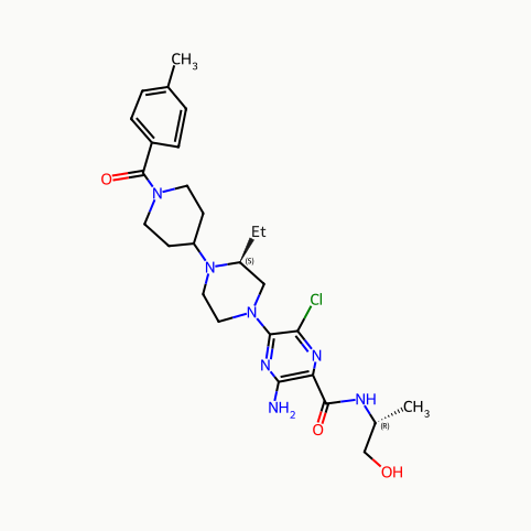 CC[C@H]1CN(c2nc(N)c(C(=O)N[C@H](C)CO)nc2Cl)CCN1C1CCN(C(=O)c2ccc(C)cc2)CC1